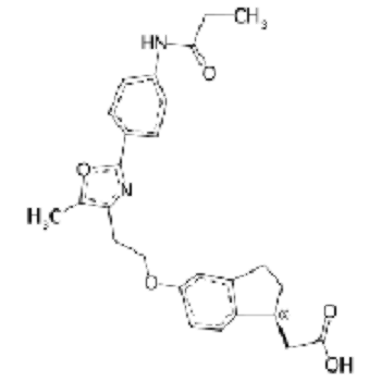 CCC(=O)Nc1ccc(-c2nc(CCOc3ccc4c(c3)CC[C@H]4CC(=O)O)c(C)o2)cc1